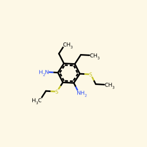 CCSc1c(N)c(CC)c(CC)c(SCC)c1N